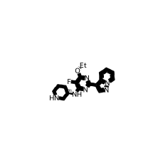 CCOc1nc(-c2cnn3ccccc23)nc(N[C@@H]2CCCNC2)c1F